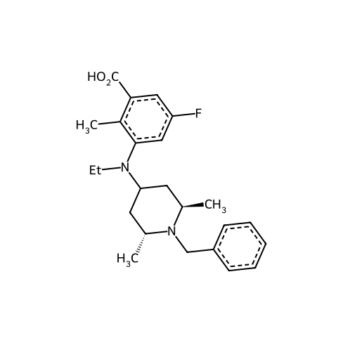 CCN(c1cc(F)cc(C(=O)O)c1C)C1C[C@@H](C)N(Cc2ccccc2)[C@H](C)C1